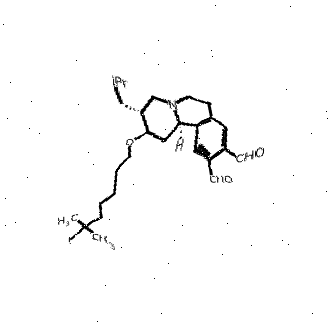 CC(C)C[C@@H]1CN2CCc3cc(C=O)c(C=O)cc3[C@H]2C[C@H]1OCCCCCC(C)(C)I